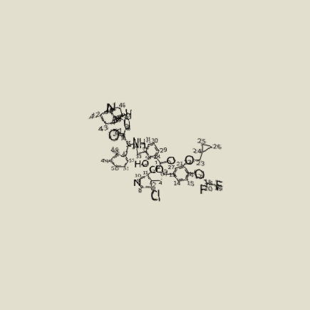 O=C(O[C@@H](Cc1c(Cl)cncc1Cl)c1ccc(OC(F)F)c(OCC2CC2)c1)c1cccc(CNC(C(=O)O[C@H]2CN3CCC2CC3)c2ccccc2)c1O